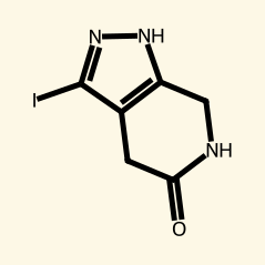 O=C1Cc2c(I)n[nH]c2CN1